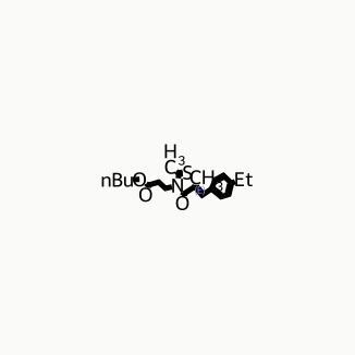 CCCCOC(=O)CCN(C(=O)/C(C)=C/c1ccc(CC)cc1)C(C)=S